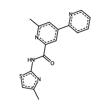 Cc1cc(-c2ccccn2)cc(C(=O)Nc2nc(C)cs2)n1